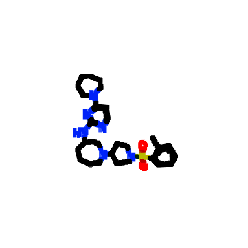 Cc1ccccc1S(=O)(=O)N1CCC(N2CCCCC(Nc3nccc(N4CCCCCC4)n3)C2)CC1